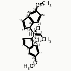 C[CH]=[Hf]([Cl])([Cl])([CH]1C=Cc2cc(OC)ccc21)[CH]1C=Cc2cc(OC)ccc21